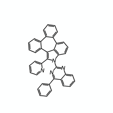 c1ccc(-c2nc(-n3c(-c4ccccn4)c4c5c(cccc53)-c3ccccc3-c3ccccc3-4)nc3ccccc23)cc1